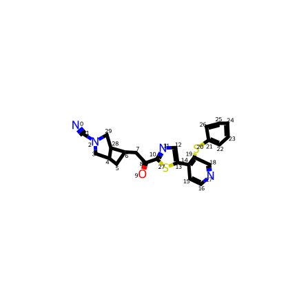 N#CN1CC2CC(CC(=O)c3ncc(-c4ccncc4Sc4ccccc4)s3)C2C1